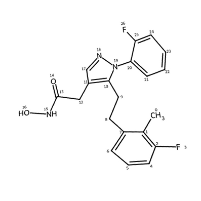 Cc1c(F)cccc1CCc1c(CC(=O)NO)cnn1-c1ccccc1F